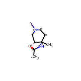 CC(=O)NC1(C)CCN(I)CC1